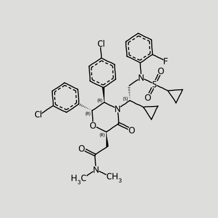 CN(C)C(=O)C[C@H]1O[C@H](c2cccc(Cl)c2)[C@@H](c2ccc(Cl)cc2)N([C@H](CN(c2ccccc2F)S(=O)(=O)C2CC2)C2CC2)C1=O